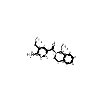 CCc1cc(C(=O)N2CCc3ccccc3[C@H]2C)nnc1N